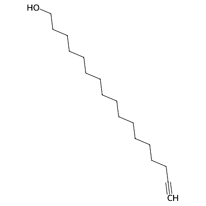 C#CCCCCCCCCCCCCCCCO